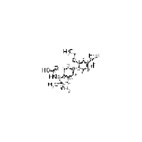 CCOc1cc(C(F)(F)F)ccc1-c1ccc2c(c1)CC(C)(C)C2NC(=O)O